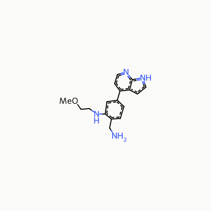 COCCNc1cc(-c2ccnc3[nH]ccc23)ccc1CN